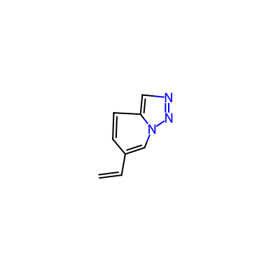 C=Cc1ccc2cnnn2c1